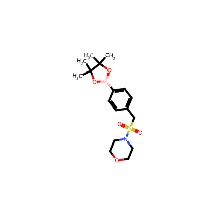 CC1(C)OB(c2ccc(CS(=O)(=O)N3CCOCC3)cc2)OC1(C)C